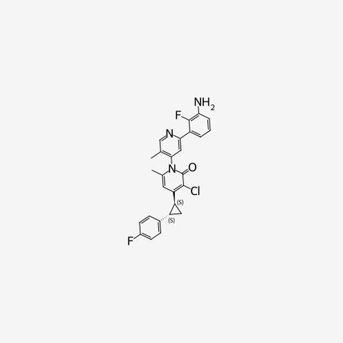 Cc1cnc(-c2cccc(N)c2F)cc1-n1c(C)cc([C@H]2C[C@@H]2c2ccc(F)cc2)c(Cl)c1=O